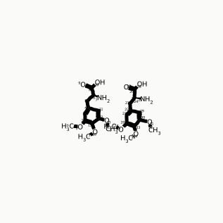 COc1cc(C[C@H](N)C(=O)O)cc(OC)c1OC.COc1cc(C[C@H](N)C(=O)O)cc(OC)c1OC